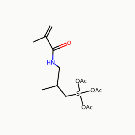 C=C(C)C(=O)NCC(C)C[Si](OC(C)=O)(OC(C)=O)OC(C)=O